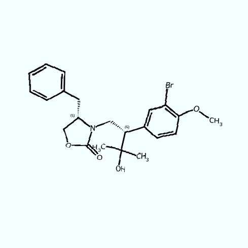 COc1ccc([C@@H](CN2C(=O)OC[C@@H]2Cc2ccccc2)C(C)(C)O)cc1Br